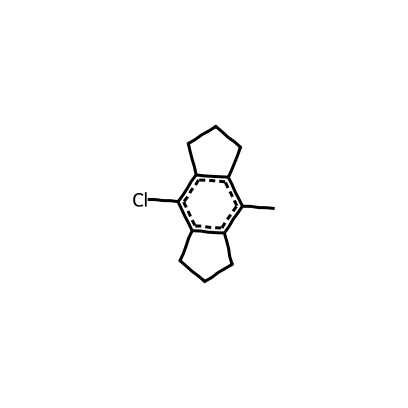 Cc1c2c(c(Cl)c3c1CCC3)CCC2